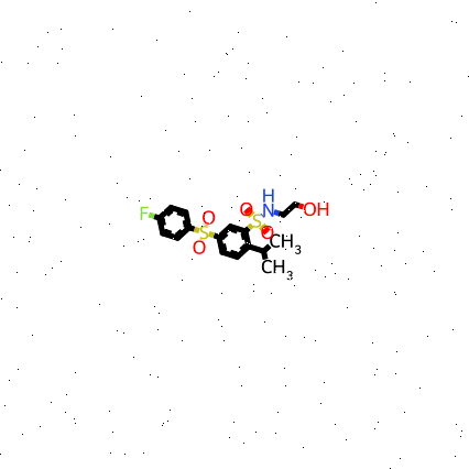 CC(C)c1ccc(S(=O)(=O)c2ccc(F)cc2)cc1S(=O)(=O)NCCO